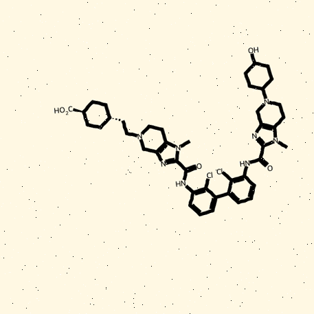 Cn1c(C(=O)Nc2cccc(-c3cccc(NC(=O)c4nc5c(n4C)CCN(C4CCC(O)CC4)C5)c3Cl)c2Cl)nc2c1CCN(CC[C@H]1CC[C@H](C(=O)O)CC1)C2